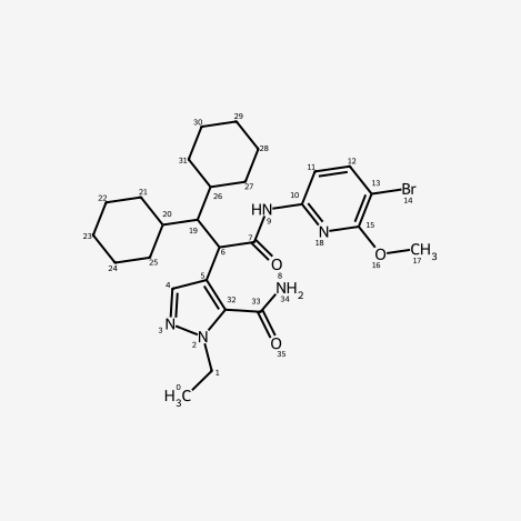 CCn1ncc(C(C(=O)Nc2ccc(Br)c(OC)n2)C(C2CCCCC2)C2CCCCC2)c1C(N)=O